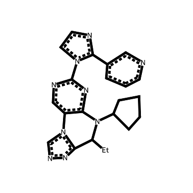 CCC1c2nncn2-c2cnc(-n3ccnc3-c3cccnc3)nc2N1C1CCCC1